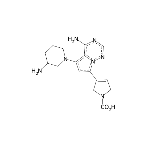 Nc1ncnn2c(C3=CCN(C(=O)O)C3)cc(N3CCCC(N)C3)c12